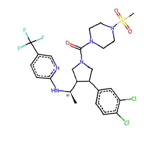 C[C@@H](Nc1ccc(C(F)(F)F)cn1)C1CN(C(=O)N2CCN(S(C)(=O)=O)CC2)CC1c1ccc(Cl)c(Cl)c1